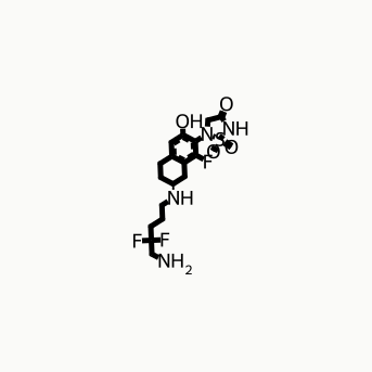 NCC(F)(F)CCCN[C@@H]1CCc2cc(O)c(N3CC(=O)NS3(=O)=O)c(F)c2C1